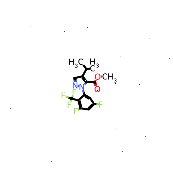 COC(=O)c1c(C(C)C)cnn1-c1cc(F)cc(F)c1C(F)(F)F